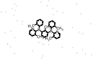 Cc1ccccc1N(c1cccc(N(c2ccccc2C)c2ncccc2C)c1C)c1ncccc1C